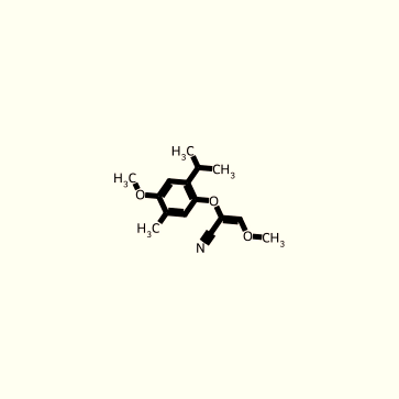 CO/C=C(\C#N)Oc1cc(C)c(OC)cc1C(C)C